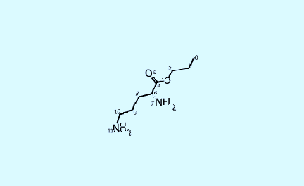 CCCOC(=O)[C@H](N)CCCN